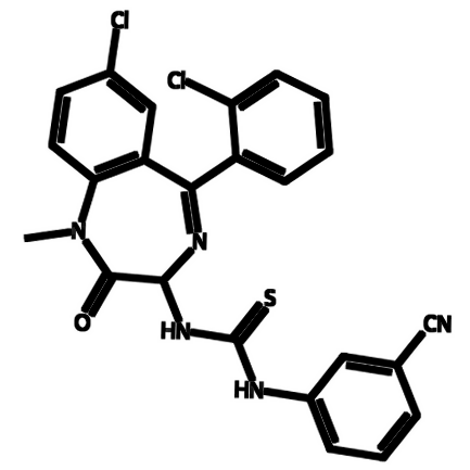 CN1C(=O)C(NC(=S)Nc2cccc(C#N)c2)N=C(c2ccccc2Cl)c2cc(Cl)ccc21